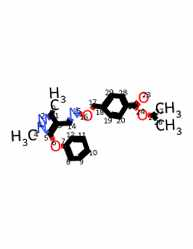 Cc1nn(C)c(Oc2ccccc2)c1/C=N/OCc1ccc(C(=O)OC(C)C)cc1